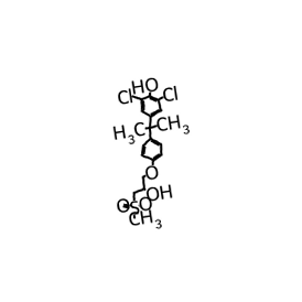 CC(C)(c1ccc(OCC(O)CS(C)(=O)=O)cc1)c1cc(Cl)c(O)c(Cl)c1